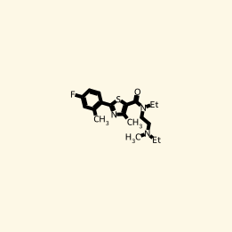 CCN(C)CCN(CC)C(=O)c1sc(-c2ccc(F)cc2C)nc1C